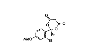 CCc1cc(OC)ccc1C1(CC)OC(=O)CC(=O)O1